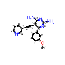 CC(C)Oc1cccc(-c2nc(N)nc(N)c2C#Cc2cccnc2)c1